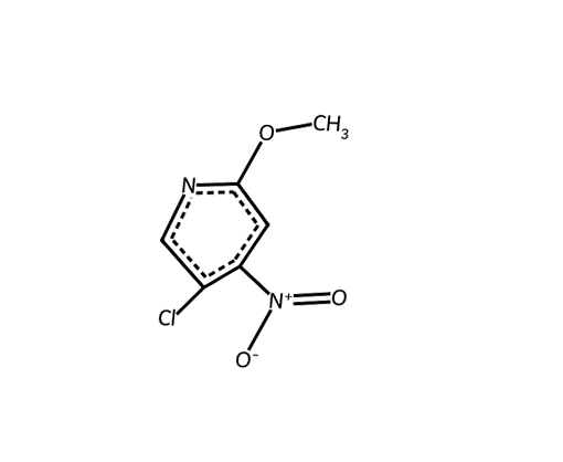 COc1cc([N+](=O)[O-])c(Cl)cn1